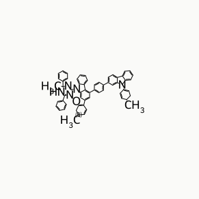 CC1C=CC(n2c3ccccc3c3ccc(-c4ccc(-c5cc6c7c(oc6c6c5c5ccccc5n6C5=NC(C)(c6ccccc6)NC(c6ccccc6)=N5)C[C@@H](C)C=C7)cc4)cc32)=CC1